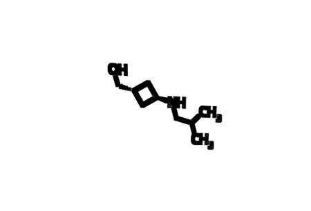 CC(C)CN[C@H]1C[C@H](CO)C1